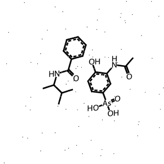 CC(=O)Nc1cc([As](=O)(O)O)ccc1O.CC(C)C(C)NC(=O)c1ccccc1